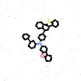 c1ccc(-c2cccc(N(c3ccc(-c4cc5c6ccccc6sc5c5ccccc45)cc3)c3ccc4c(c3)oc3ccccc34)c2)cc1